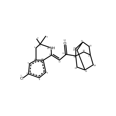 CC1(C)Cc2cc(Cl)ccc2C(=CC(=O)C23CC4CC(CC(C4)C2)C3)N1